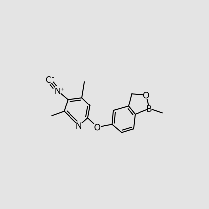 [C-]#[N+]c1c(C)cc(Oc2ccc3c(c2)COB3C)nc1C